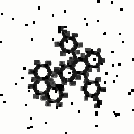 Fc1ccc(-c2c3ccccc3c(-c3ccc(F)cc3)c3cc(-c4cccc5ccc6cccnc6c45)ccc23)cc1